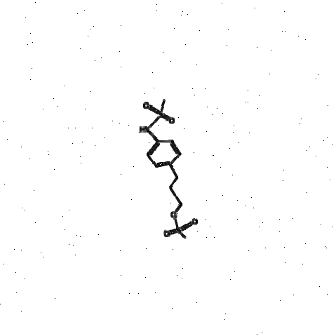 CS(=O)(=O)Nc1ccc(CCCOS(C)(=O)=O)cc1